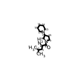 CC(C)C[C@H](N)C(=O)N1CCC(N2CCCCC2)C1